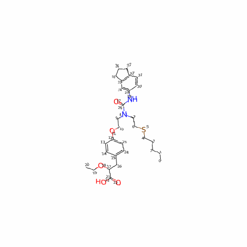 CCCCCSCCN(CCOc1ccc(CC(OCC)C(=O)O)cc1)C(=O)Nc1ccc2c(c1)CCC2